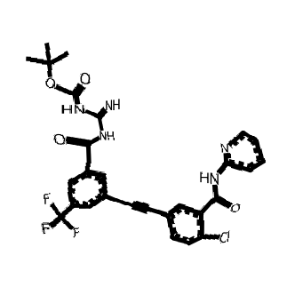 CC(C)(C)OC(=O)NC(=N)NC(=O)c1cc(C#Cc2ccc(Cl)c(C(=O)Nc3ccccn3)c2)cc(C(F)(F)F)c1